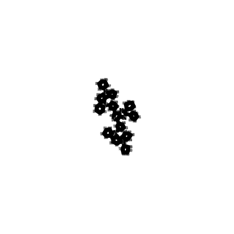 c1ccc(-c2nc3c(-c4cccc(-n5c6ccccc6c6ccc7c(c8ccccc8n7-c7ccccc7)c65)c4)cnc(-c4cccc(-n5c6ccccc6c6ccc7c(c8ccccc8n7-c7ccccc7)c65)c4)c3nc2-c2ccccc2)cc1